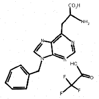 NC(Cc1ncnc2c1ncn2Cc1ccccc1)C(=O)O.O=C(O)C(F)(F)F